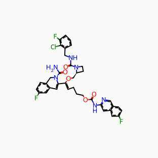 NC(=O)N1Cc2ccc(F)cc2C=C1C(=CCCCOC(=O)Nc1cc2cc(F)ccc2cn1)OC[C@@H]1CCN1C(=O)NCc1cccc(F)c1Cl